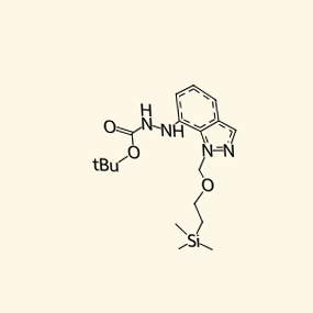 CC(C)(C)OC(=O)NNc1cccc2cnn(COCC[Si](C)(C)C)c12